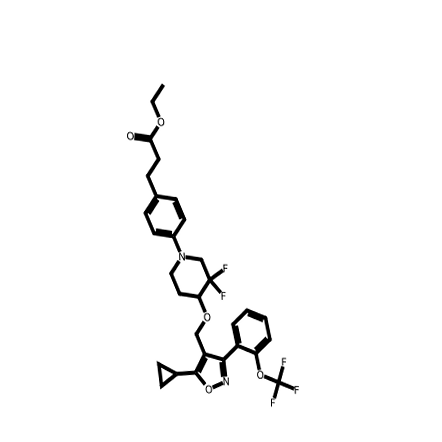 CCOC(=O)CCc1ccc(N2CCC(OCc3c(-c4ccccc4OC(F)(F)F)noc3C3CC3)C(F)(F)C2)cc1